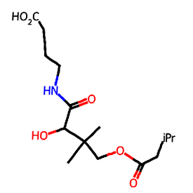 CC(C)CC(=O)OCC(C)(C)C(O)C(=O)NCCCC(=O)O